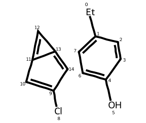 CCc1ccc(O)cc1.Clc1cc2cc-2c1